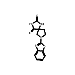 O=C1NC(=O)C2(CCN(c3nc4ccccc4s3)C2)N1